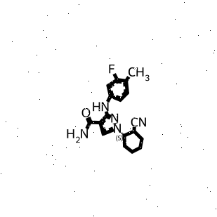 Cc1ccc(Nc2nn([C@H]3CCCCC3C#N)cc2C(N)=O)cc1F